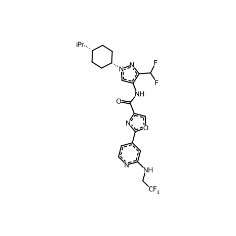 CC(C)[C@H]1CC[C@@H](n2cc(NC(=O)c3coc(-c4ccnc(NCC(F)(F)F)c4)n3)c(C(F)F)n2)CC1